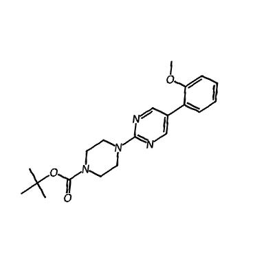 COc1ccccc1-c1cnc(N2CCN(C(=O)OC(C)(C)C)CC2)nc1